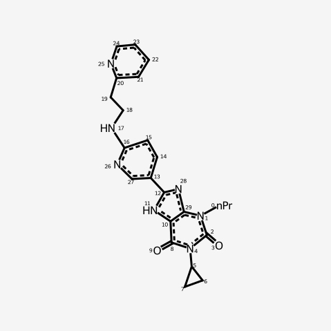 CCCn1c(=O)n(C2CC2)c(=O)c2[nH]c(-c3ccc(NCCc4ccccn4)nc3)nc21